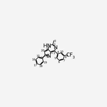 Cc1nc(-c2cccc(C(F)(F)F)c2)c2nc(-c3ccccc3)cc-2[nH]1